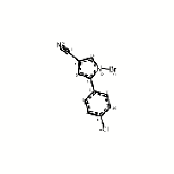 N#Cc1cc(-c2ccc(Cl)cc2)n(Br)c1